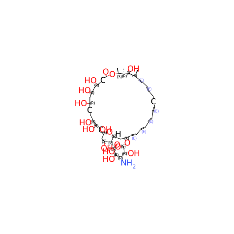 C[C@@H]1[C@H](O)[C@@H](C)/C=C/C=C/CC/C=C/C=C/C=C/C=C/[C@H](O[C@H]2O[C@@H](C)[C@H](O)[C@@H](N)[C@H]2O)C[C@@H]2O[C@](O)(C[C@@H](O)[C@H](O)CC[C@@H](O)C[C@@H](O)C[C@@H](O)CC(=O)O[C@H]1C)C[C@H](O)[C@H]2C(=O)O